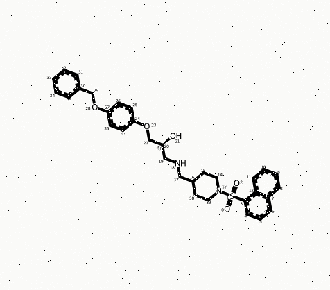 O=S(=O)(c1cccc2ccccc12)N1CCC(CNC[C@H](O)COc2ccc(OCc3ccccc3)cc2)CC1